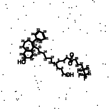 O=S(=O)(CCCN(CCCO)CCCCCCC1=C(c2ccccc2)CCCc2cc(O)ccc21)CCCC(F)(F)C(F)(F)F